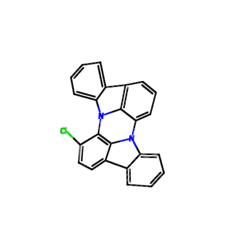 Clc1ccc2c3ccccc3n3c4cccc5c6ccccc6n(c1c23)c54